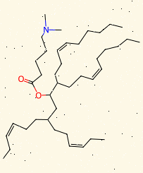 CC/C=C\CCC(CC/C=C\CC)CC(OC(=O)CCCCN(C)C)C(CC/C=C\CCCCC)CC/C=C\CCCCC